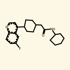 O=C(CC1CCC(c2ccnc3ccc(F)cc23)CC1)NC1CCCCC1